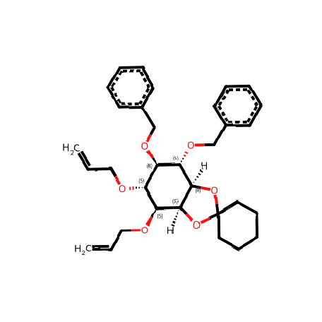 C=CCO[C@@H]1[C@@H](OCc2ccccc2)[C@H](OCc2ccccc2)[C@H]2OC3(CCCCC3)O[C@H]2[C@H]1OCC=C